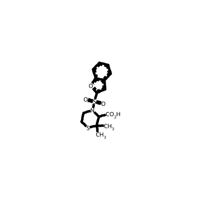 CC1(C)SCCN(S(=O)(=O)c2cc3ccccc3o2)C1C(=O)O